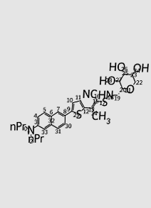 CCCN(CCC)c1ccc2cc(-c3ccc(/C(C)=C(\C#N)SNC[C@H]4OC[C@H](O)[C@@H](O)[C@@H]4O)s3)ccc2c1